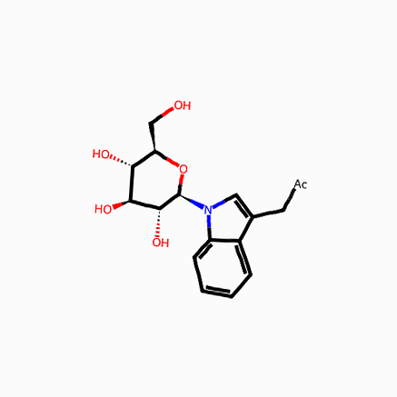 CC(=O)Cc1cn([C@@H]2O[C@H](CO)[C@@H](O)[C@H](O)[C@H]2O)c2ccccc12